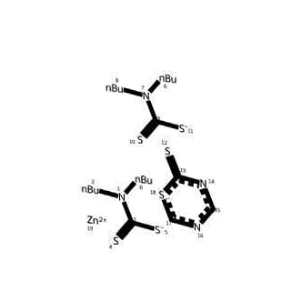 CCCCN(CCCC)C(=S)[S-].CCCCN(CCCC)C(=S)[S-].S=c1ncncs1.[Zn+2]